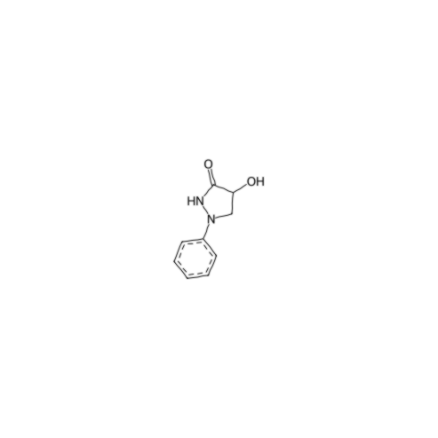 O=C1NN(c2ccccc2)CC1O